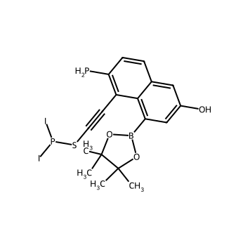 CC1(C)OB(c2cc(O)cc3ccc(P)c(C#CSP(I)I)c23)OC1(C)C